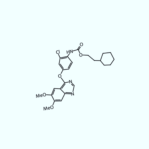 COc1cc2ncnc(Oc3ccc(NC(=O)OCCC4CCCCC4)c(Cl)c3)c2cc1OC